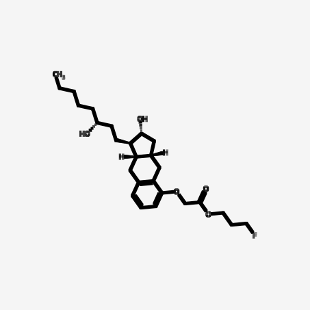 CCCCC[C@@H](O)CC[C@@H]1[C@H]2Cc3cccc(OCC(=O)OCCCF)c3C[C@H]2C[C@H]1O